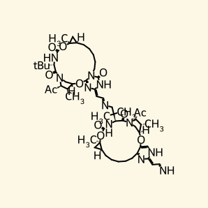 CC(=O)[C@@H]1[C@H](C)[C@@H]2CN1C(=O)[C@H](C(C)(C)C)NC(=O)O[C@]1(C)C[C@H]1CCCCCN1C(=O)N/C(=C\C=N\CC(C)(C)[C@@H]3NC(=O)O[C@]4(C)C[C@H]4CCCCCC4=N/C(=C/C=N)NC=C4O[C@H]4CN(C3=O)[C@H](C(C)=O)[C@@H]4C)N=C1O2